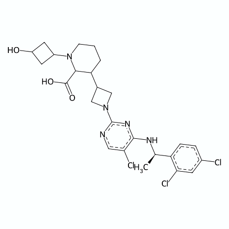 C[C@@H](Nc1nc(N2CC(C3CCCN(C4CC(O)C4)C3C(=O)O)C2)ncc1Cl)c1ccc(Cl)cc1Cl